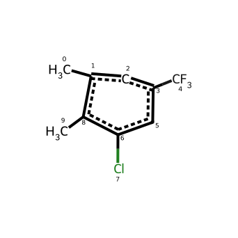 Cc1cc(C(F)(F)F)cc(Cl)c1C